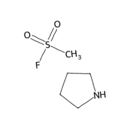 C1CCNC1.CS(=O)(=O)F